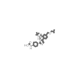 CC(C)COCc1ccc(-c2cnc([C@H]3CC[C@H](NC(=O)O)CC3)s2)c(S(=O)(=O)NC(C)(C)C)c1